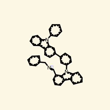 C(=N\Cc1ccccc1)/c1cccc2c3ccccc3n(-c3cccc(-c4ccc5c6ccccc6n(-c6ccccc6)c5c4)c3)c12